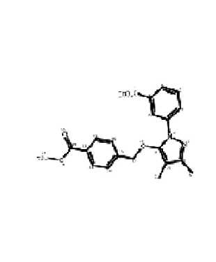 CCOC(=O)c1cccc(-n2nc(C)c(C)c2OCc2ccc(C(=O)OC(C)(C)C)cc2)c1